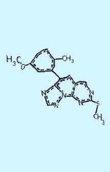 COc1ccc(C)c(-c2cc3cnc(SC)nc3n3ncnc23)c1